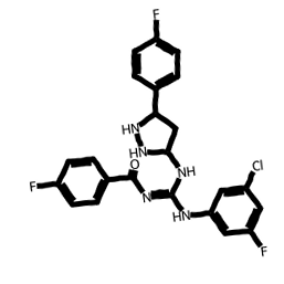 O=C(/N=C(/Nc1cc(F)cc(Cl)c1)NC1CC(c2ccc(F)cc2)NN1)c1ccc(F)cc1